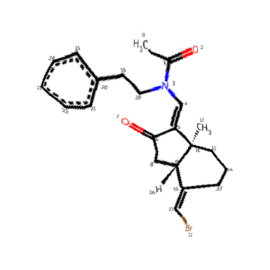 CC(=O)N(/C=C1\C(=O)C[C@H]2/C(=C/Br)CCC[C@]12C)CCc1ccccc1